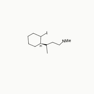 CNCCC(C)[C@H]1CCCCC1I